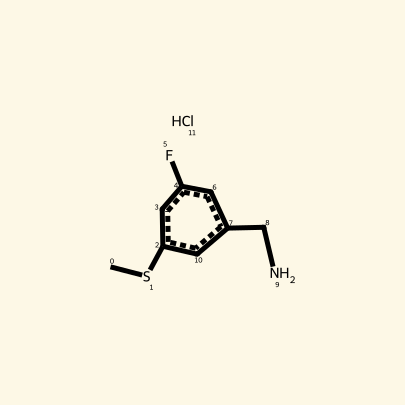 CSc1cc(F)cc(CN)c1.Cl